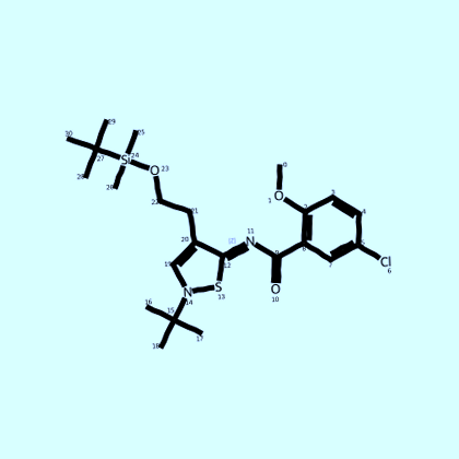 COc1ccc(Cl)cc1C(=O)/N=c1\sn(C(C)(C)C)cc1CCO[Si](C)(C)C(C)(C)C